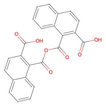 O=C(O)c1ccc2ccccc2c1C(=O)OC(=O)c1c(C(=O)O)ccc2ccccc12